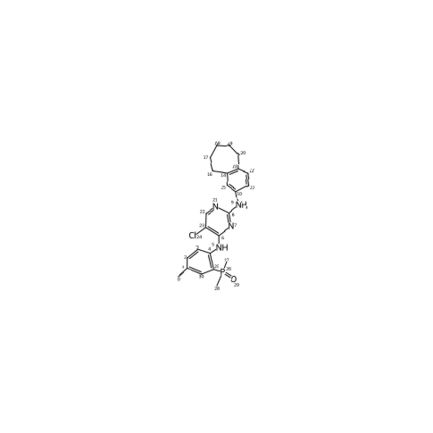 Cc1ccc(Nc2nc(Nc3ccc4c(c3)CCCCC4)ncc2Cl)c(P(C)(C)=O)c1